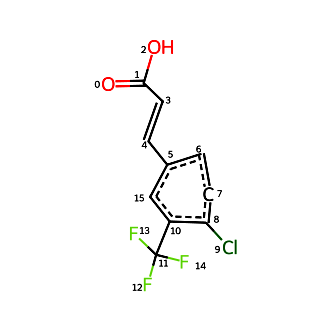 O=C(O)C=Cc1ccc(Cl)c(C(F)(F)F)c1